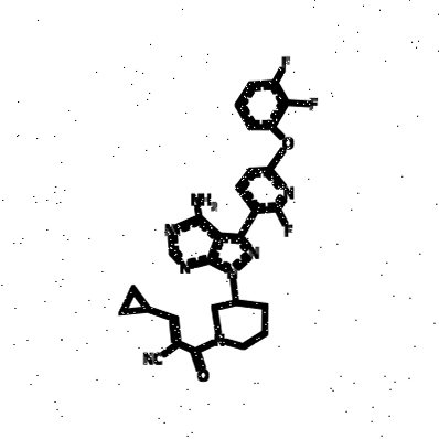 N#CC(=CC1CC1)C(=O)N1CCCC(n2nc(-c3ccc(Oc4cccc(F)c4F)nc3F)c3c(N)ncnc32)C1